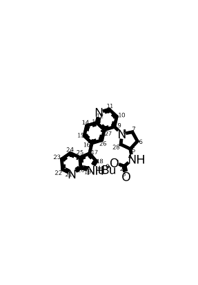 CC(C)(C)OC(=O)NC1CCN(c2ccnc3ccc(-c4c[nH]c5ncccc45)cc23)C1